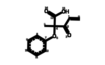 C=CC(=O)C(C)(Oc1ccccc1)C(=O)O